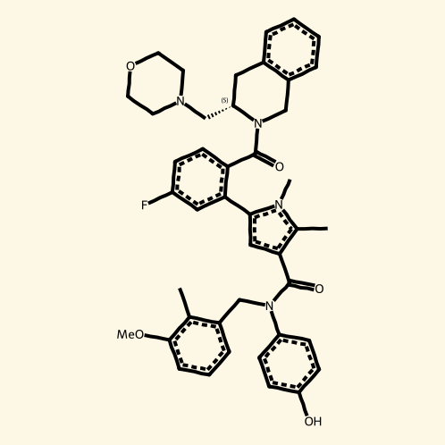 COc1cccc(CN(C(=O)c2cc(-c3cc(F)ccc3C(=O)N3Cc4ccccc4C[C@H]3CN3CCOCC3)n(C)c2C)c2ccc(O)cc2)c1C